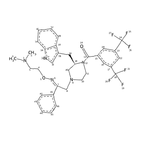 CN(C)CCON=C(CN1CCN(C(=O)c2cc(C(F)(F)F)cc(C(F)(F)F)c2)[C@H](Cc2c[nH]c3ccccc23)C1)c1ccccc1